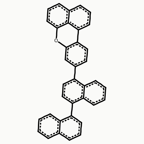 c1ccc2c(-c3ccc(-c4ccc5c(c4)Oc4cccc6cccc-5c46)c4ccccc34)cccc2c1